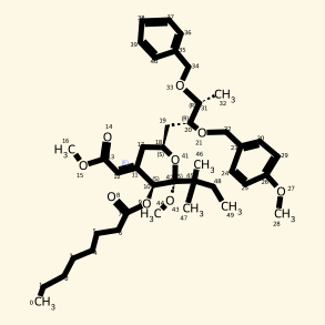 CCCCCCCC(=O)O[C@H]1/C(=C/C(=O)OC)C[C@@H](C[C@@H](OCc2ccc(OC)cc2)[C@@H](C)OCc2ccccc2)O[C@@]1(OC)C(C)(C)CC